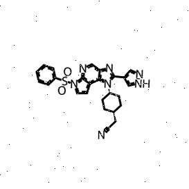 N#CC[C@H]1CC[C@H](n2c(-c3cn[nH]c3)nc3cnc4c(ccn4S(=O)(=O)c4ccccc4)c32)CC1